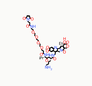 CC[C@@]1(O)C(=O)OCc2c1cc1n(c2=O)Cc2c-1nc1cc3c(cc1c2CNC(=O)[C@H](CCCCN)CC(=O)[C@@H](NC(=O)CCOCCOCCOCCOCCNC(=O)CCN1C(=O)C=CC1=O)C(C)C)OCO3